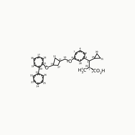 C[C@H](C(=O)O)C(c1cccc(OCC2CC(Oc3ccccc3-c3ccccc3)C2)c1)C1CC1